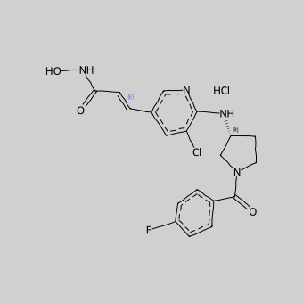 Cl.O=C(/C=C/c1cnc(N[C@@H]2CCN(C(=O)c3ccc(F)cc3)C2)c(Cl)c1)NO